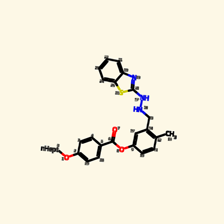 CCCCCCCOc1ccc(C(=O)Oc2ccc(C)c(CNNc3nc4ccccc4s3)c2)cc1